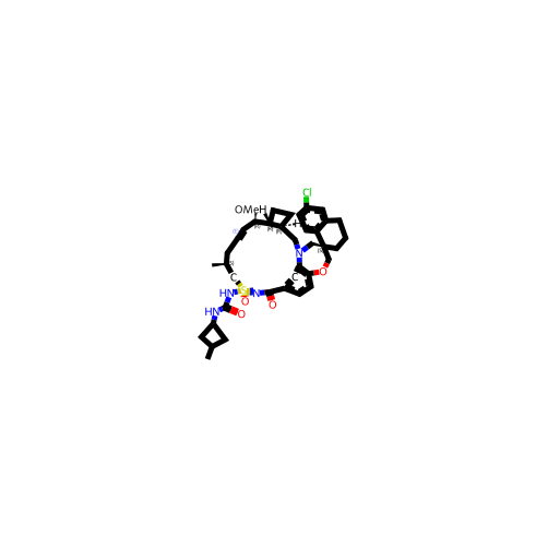 CO[C@H]1/C=C/C[C@H](C)CS(=O)(NC(=O)NC2CC(C)C2)=NC(=O)c2ccc3c(c2)N(C[C@@H]2CC[C@H]21)C[C@@]1(CCCc2cc(Cl)ccc21)CO3